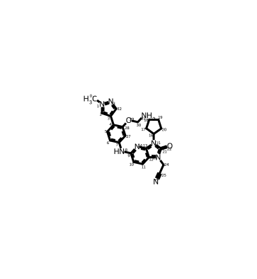 Cn1cc(-c2ccc(Nc3ccc4c(n3)n(C3CCCC3)c(=O)n4CC#N)cc2OCN)cn1